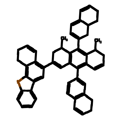 CC1CC=Cc2c(-c3ccc4c(c3)CCC=C4)c3c(c(C4=CC=C5C=CCCC5C4)c21)C(C)CC(c1cc2c(sc4ccccc42)c2c1C=CCC2)=C3